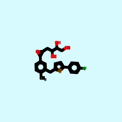 Cc1ccc(C2OC2CC(O)C(O)CO)cc1Cc1ccc(-c2ccc(F)cc2)s1